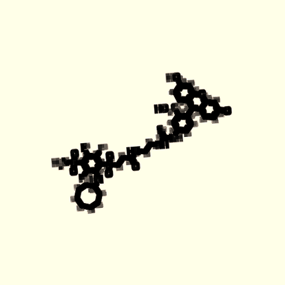 NS(=O)(=O)c1c(F)c(F)c(S(=O)(=O)CCC(=O)NCCNC(=S)Nc2ccc(-c3c4ccc(=O)cc-4oc4cc(O)ccc34)c(C(=O)O)c2)c(NC2CCCCCCC2)c1F